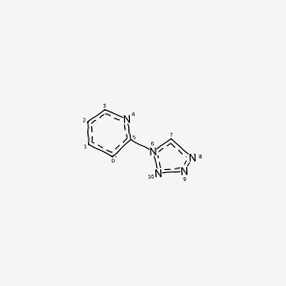 [c]1cccnc1-n1cnnn1